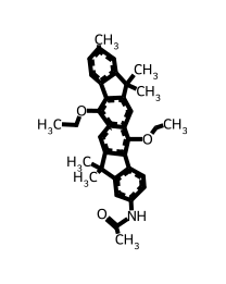 CCOc1c2c(cc3c(OCC)c4c(cc13)C(C)(C)c1cc(NC(C)=O)ccc1-4)C(C)(C)c1cc(C)ccc1-2